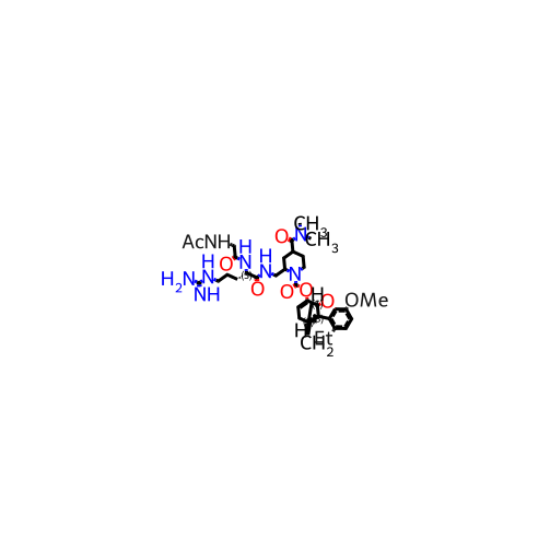 C=C1CC[C@]23c4c(CC)ccc(OC)c4O[C@@H]2C(OC(=O)N2CCC(C(=O)N(C)C)CC2CNC(=O)[C@H](CCCNC(=N)N)NC(=O)CNC(C)=O)=CC[C@@H]13